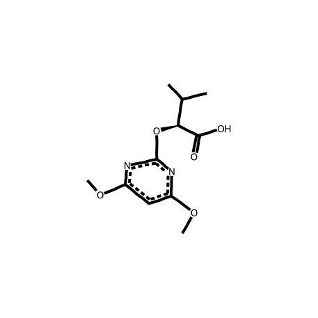 COc1cc(OC)nc(O[C@H](C(=O)O)C(C)C)n1